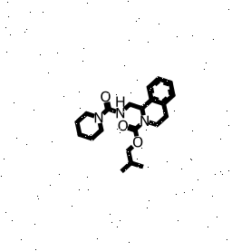 CC(C)COC(=O)N1CCc2ccccc2C1CNC(=O)N1CCCCC1